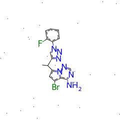 CC(c1cn(-c2ccccc2F)nn1)c1cc(Br)c2c(N)ncnn12